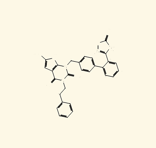 Cc1cc2c(=O)n(CCc3ccccc3)c(=O)n(Cc3ccc(-c4ccccc4-c4noc(=O)[nH]4)cc3)c2s1